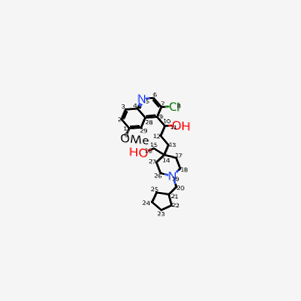 COc1ccc2ncc(Cl)c(C(O)CCC3(CO)CCN(CC4CCCC4)CC3)c2c1